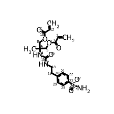 C=CC(=O)OCC(C)(COC(=O)C=C)NC(=O)NCCc1ccc(S(N)(=O)=O)cc1